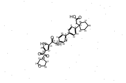 O=C(O)CC1(c2ccc(-c3ccc(NC(=O)c4cc(S(=O)(=O)N5CCOCC5)c[nH]4)cn3)cc2)CCCCC1